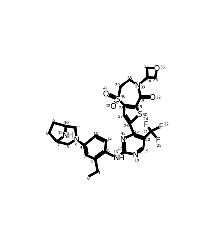 CCc1cc(N2CC3CCC(C2)N3)ccc1Nc1ncc(C(F)(F)F)c(-c2cc3c(s2)C(=O)N(C2COC2)CCS3(=O)=O)n1